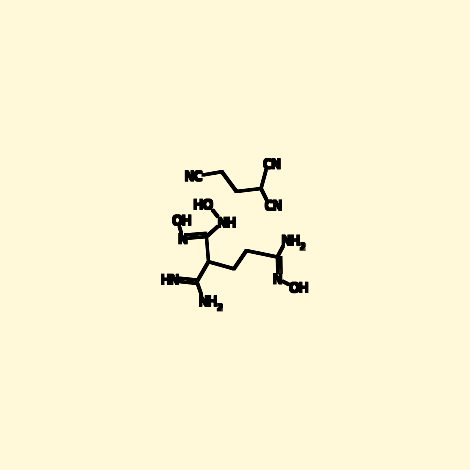 N#CCCC(C#N)C#N.N=C(N)C(CCC(N)=NO)C(=NO)NO